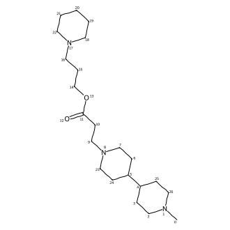 CN1CCC(C2CCN(CCC(=O)OCCCN3CCCCC3)CC2)CC1